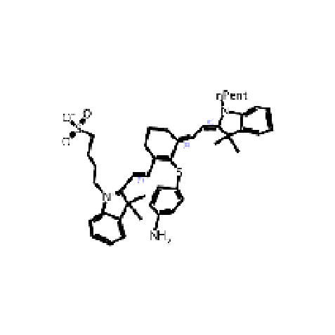 CCCCCN1/C(=C/C=C2\CCCC(/C=C/C3=[N+](CCCCS(=O)(=O)[O-])c4ccccc4C3(C)C)=C2Sc2ccc(N)cc2)C(C)(C)c2ccccc21